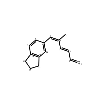 CC(C=CC=O)=Cc1ccc2c(c1)CCC2